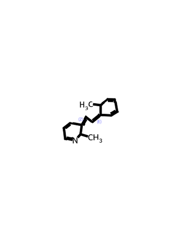 CC1N=CC=C/C1=C/C=C1/C=CC=CC1C